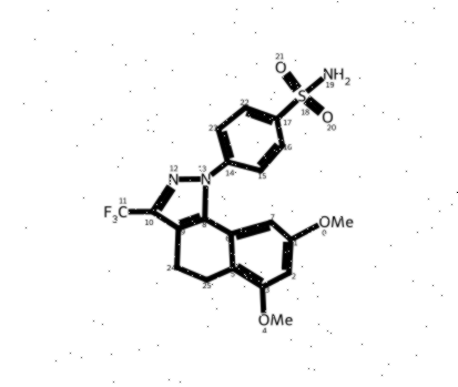 COc1cc(OC)c2c(c1)-c1c(c(C(F)(F)F)nn1-c1ccc(S(N)(=O)=O)cc1)CC2